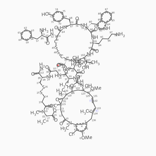 COc1cc2cc(c1Cl)N(C)C(=O)C[C@H](OC(=O)[C@H](C)N(C)C(=O)CCSSC[C@H](NC(=O)[C@H](C)NC(=O)[C@H](C)NC(=O)[C@@H](NC(=O)[C@@H]1CSSC[C@H](NC(=O)[C@H](N)Cc3ccccc3)C(=O)N[C@@H](Cc3ccc(O)cc3)C(=O)N[C@H](Cc3c[nH]c4ccccc34)C(=O)N[C@@H](CCCCN)C(=O)N[C@@H]([C@@H](C)O)C(=O)N1)[C@@H](C)O)C(N)=O)[C@]1(C)O[C@H]1[C@H](C)[C@@H]1C[C@@](O)(NC(=O)O1)[C@H](OC)/C=C/C=C(\C)C2